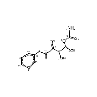 CC(OC(N)=O)C(O)C(=O)NCc1ccccc1